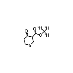 [2H]C([2H])([2H])OC(=O)C1CSCCC1=O